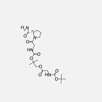 CC(C)(C)OC(=O)NCC(=O)OCC(C)(C)OC(=O)NCC(=O)N1CCC[C@H]1C(N)=O